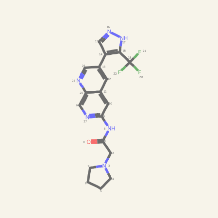 O=C(CN1CCCC1)Nc1cc2cc(-c3cn[nH]c3C(F)(F)F)cnc2cn1